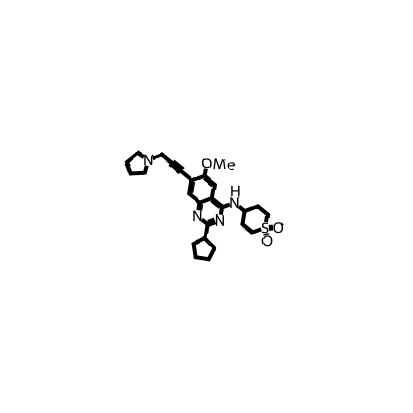 COc1cc2c(NC3CCS(=O)(=O)CC3)nc(C3CCCC3)nc2cc1C#CCN1CCCC1